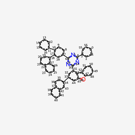 c1ccc(-c2nc(-c3ccc(-c4ccccc4)c(-c4cccc5ccccc45)c3)nc(-c3cc(-c4ccc5ccccc5c4)cc4oc5ccccc5c34)n2)cc1